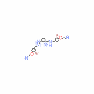 CN(C)CCCOc1ccc(CCN/C=C(\N=N)c2cccc(-c3cn(CCc4ccc(OCCCN(C)C)c(Br)c4)nn3)c2)cc1Br